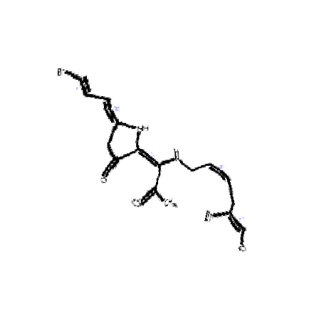 CC(=O)/C(NC/C=C\C(Br)=C\Cl)=C1/N/C(=C/C=C/Br)CC1=O